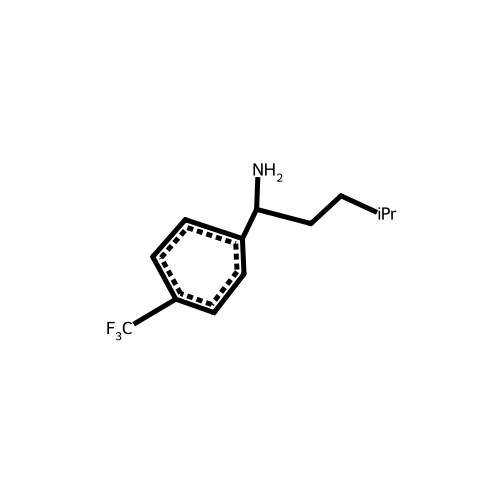 CC(C)CCC(N)c1ccc(C(F)(F)F)cc1